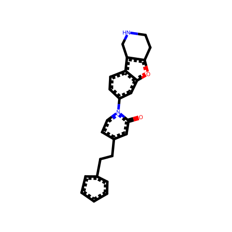 O=c1cc(CCc2ccccc2)ccn1-c1ccc2c3c(oc2c1)CCNC3